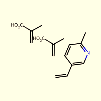 C=C(C)C(=O)O.C=C(C)C(=O)O.C=Cc1ccc(C)nc1